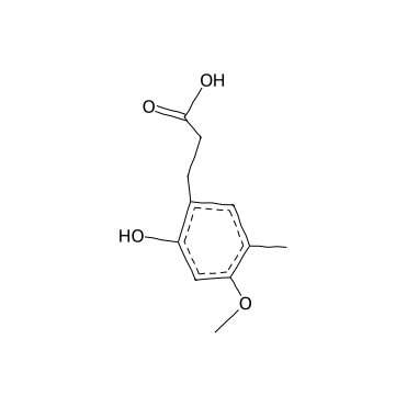 COc1cc(O)c(CCC(=O)O)cc1C